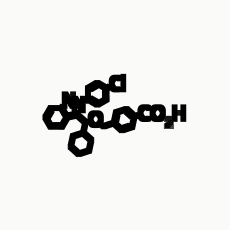 O=C(O)c1ccc(COC(c2c3ccccc3nn2-c2ccc(Cl)cc2)C2CCCCC2)cc1